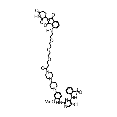 COc1cc(N2CCC(N3CCN(C(=O)CCOCCOCCOCCNc4cccc5c4C(=O)N(C4CCC(=O)NC4=O)C5=O)CC3)CC2)ccc1Nc1ncc(Cl)c(Nc2ccccc2P(C)(C)=O)n1